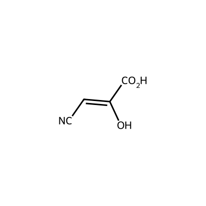 N#C/C=C(\O)C(=O)O